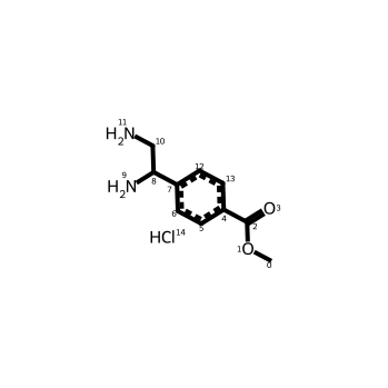 COC(=O)c1ccc(C(N)CN)cc1.Cl